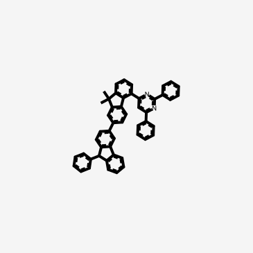 CC1(C)c2cc(-c3ccc4c(c3)-c3ccccc3C4c3ccccc3)ccc2-c2c(-c3cc(-c4ccccc4)nc(-c4ccccc4)n3)cccc21